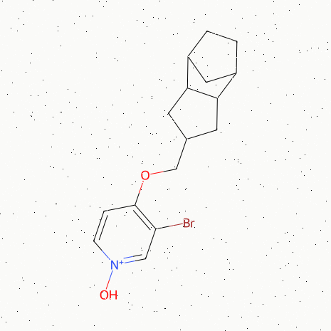 O[n+]1ccc(OCC2CC3C4CCC(C4)C3C2)c(Br)c1